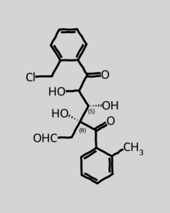 Cc1ccccc1C(=O)[C@@](O)(CC=O)[C@@H](O)C(O)C(=O)c1ccccc1CCl